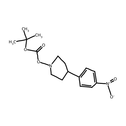 CC(C)(C)OC(=O)ON1CCC(c2ccc([N+](=O)[O-])cc2)CC1